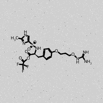 Cc1nc(S(=O)(=O)N[C@@H](Cc2ccc(OCCCONC(=N)N)cc2)C(=O)OC(=O)C(F)(F)F)c[nH]1